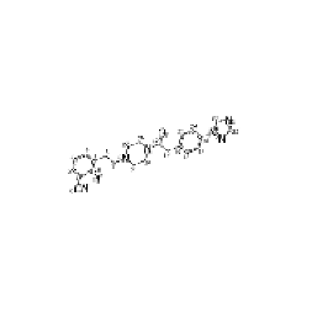 N#Cc1cccc(CCN2CCN(C(=O)Cc3ccc(-n4cncn4)cc3)CC2)c1F